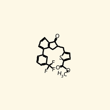 COC(=O)c1ccc(CC2Cc3c(cccc3-c3cccc(C(F)(F)F)c3)C2=O)s1